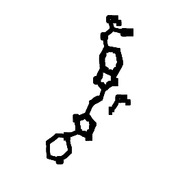 CC(O)Oc1ccc2nc(C=Cc3cnc(N4CCCOC4)s3)oc2c1.CF